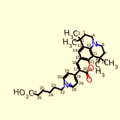 CC1(C)CCN2CCC(C)(C)c3c2c1cc1cc(-c2cc[n+](CCCCCC(=O)O)cc2)c(=O)oc31